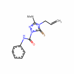 C=CCn1c(NC)nn(C(=O)Nc2ccccc2)c1=S